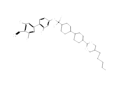 CCCCCC1COC(C2CCC(C3CCC(C(F)(F)Oc4ccc(-c5cc(F)c(C#N)c(F)c5)c(F)c4)CC3)CC2)OC1